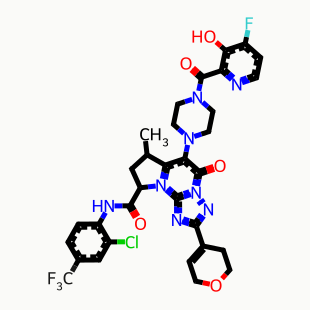 CC1CC(C(=O)Nc2ccc(C(F)(F)F)cc2Cl)n2c1c(N1CCN(C(=O)c3nccc(F)c3O)CC1)c(=O)n1nc(C3=CCOCC3)nc21